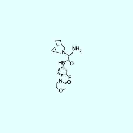 NC[C@@H](C(=O)Nc1ccc(N2CCOCC2=O)c(F)c1)N(CC1CCC1)CC1CC1